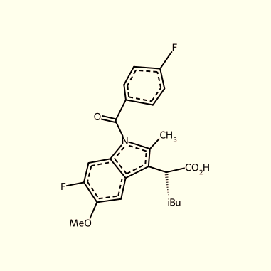 CC[C@@H](C)C(C(=O)O)c1c(C)n(C(=O)c2ccc(F)cc2)c2cc(F)c(OC)cc12